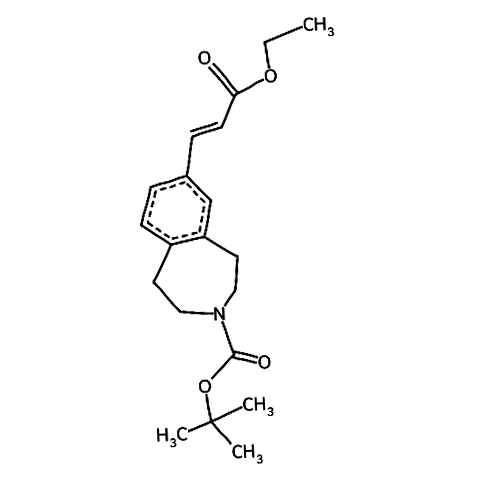 CCOC(=O)C=Cc1ccc2c(c1)CCN(C(=O)OC(C)(C)C)CC2